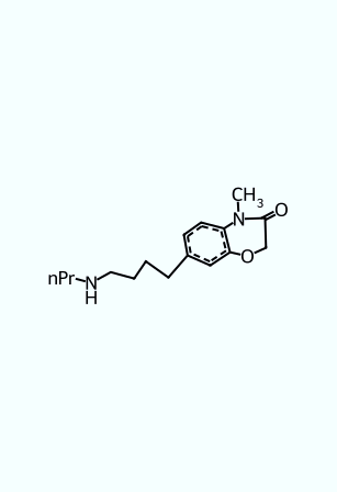 CCCNCCCCc1ccc2c(c1)OCC(=O)N2C